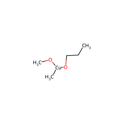 CCC[O][Cu]([CH3])[O]C